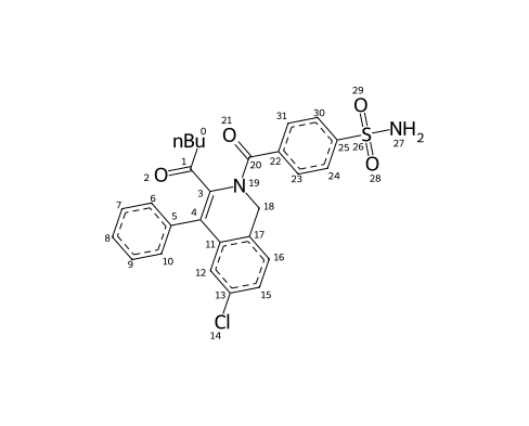 CCCCC(=O)C1=C(c2ccccc2)c2cc(Cl)ccc2CN1C(=O)c1ccc(S(N)(=O)=O)cc1